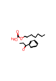 CCC(=O)c1ccccc1.CCCCCCCOC(=O)O